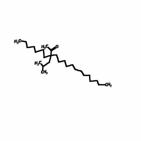 CCCCCCCCCCCCCC(CCCCCCC)(CC(C)C)C(C)=O